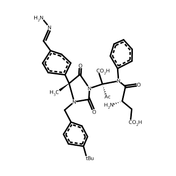 CC(=O)[C@@](C(=O)O)(N1C(=O)N(Cc2ccc(C(C)(C)C)cc2)[C@](C)(c2ccc(C=NN)cc2)C1=O)N(C(=O)[C@@H](N)CC(=O)O)c1ccccc1